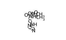 CC(C)CC1=C(NC(Cc2ccc(Nc3nccc4cnccc34)cc2)C(=O)O)CCC1=O